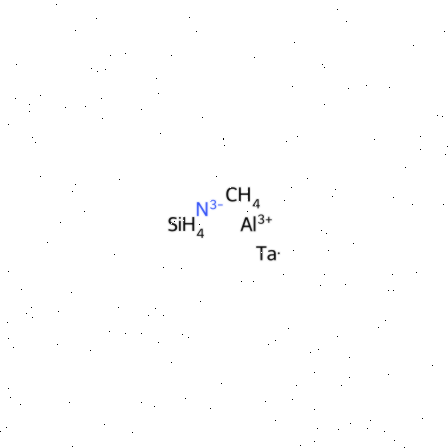 C.[Al+3].[N-3].[SiH4].[Ta]